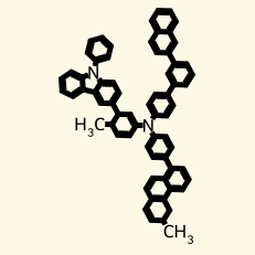 CC1C=Cc2ccc3c(-c4ccc(N(C5=CC(c6ccc7c(c6)c6ccccc6n7-c6ccccc6)C(C)C=C5)c5ccc(-c6cccc(-c7ccc8ccccc8c7)c6)cc5)cc4)cccc3c2C1